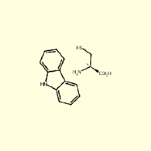 N[C@@H](CS)C(=O)O.c1ccc2c(c1)[nH]c1ccccc12